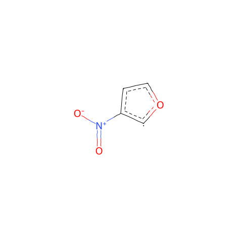 O=[N+]([O-])c1[c]occ1